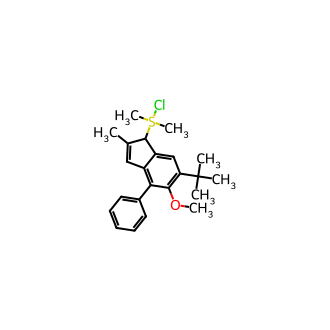 COc1c(C(C)(C)C)cc2c(c1-c1ccccc1)C=C(C)C2S(C)(C)Cl